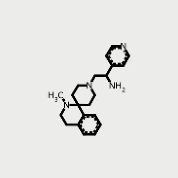 CN1CCc2ccccc2C12CCN(CC(N)c1ccncc1)CC2